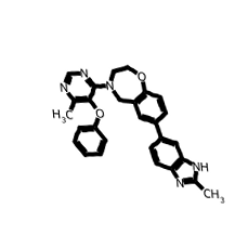 Cc1nc2ccc(-c3ccc4c(c3)CN(c3ncnc(C)c3Oc3ccccc3)CCO4)cc2[nH]1